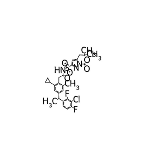 Cc1cc(C(C)c2ccc(F)c(Cl)c2F)cc(C2CC2)c1CC(=O)NS(=O)(=O)c1cc2n(n1)C(=O)OC(C)(C)C2